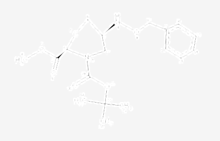 COC(=O)[C@H]1CC[C@@H](NOCc2ccccc2)CN1C(=O)OC(C)(C)C